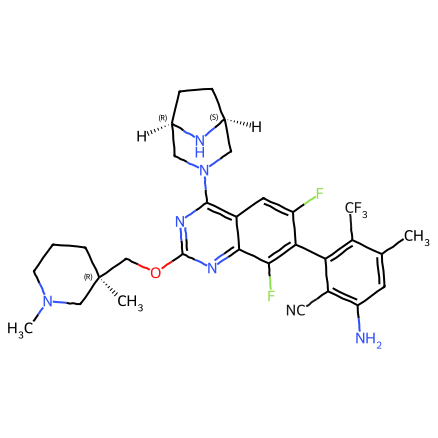 Cc1cc(N)c(C#N)c(-c2c(F)cc3c(N4C[C@H]5CC[C@@H](C4)N5)nc(OC[C@]4(C)CCCN(C)C4)nc3c2F)c1C(F)(F)F